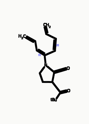 C=C/C=C\C(=C/C=C)N1CCC(C(=O)C(C)(C)C)C1=O